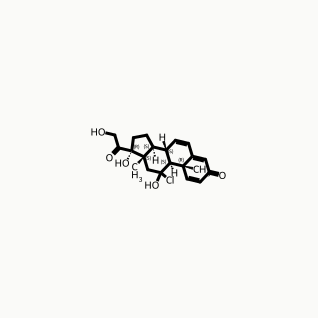 C[C@]12C=CC(=O)C=C1C=C[C@@H]1[C@@H]2C(O)(Cl)C[C@@]2(C)[C@H]1CC[C@]2(O)C(=O)CO